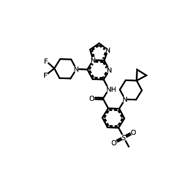 CS(=O)(=O)c1ccc(C(=O)Nc2cc(N3CCC(F)(F)CC3)n3ccnc3n2)c(N2CCC3(CC2)CC3)c1